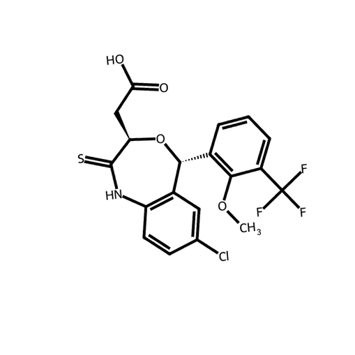 COc1c([C@H]2O[C@H](CC(=O)O)C(=S)Nc3ccc(Cl)cc32)cccc1C(F)(F)F